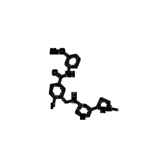 COc1cccc(NC(=O)c2ccc(F)c(CNc3cncc(-c4ccn(C)n4)c3)c2)c1